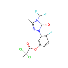 Cc1nn(-c2cc(OC(=O)C(C)(Cl)Cl)ccc2F)c(=O)n1C(F)F